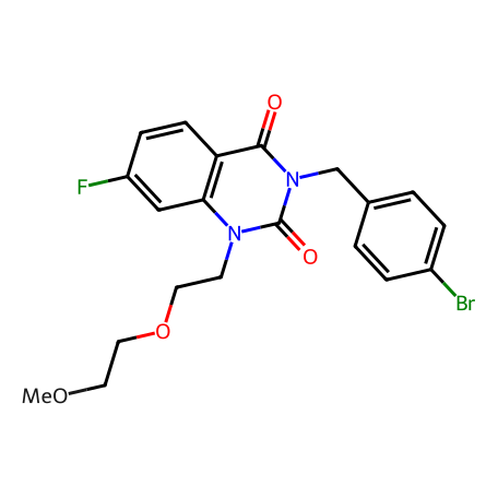 COCCOCCn1c(=O)n(Cc2ccc(Br)cc2)c(=O)c2ccc(F)cc21